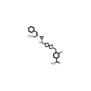 CC/C(=C\c1ccccc1)[C@@H]1C[C@H]1NC1CC2(C1)CN(Cc1ccc(C(=O)O)cc1Cl)C2